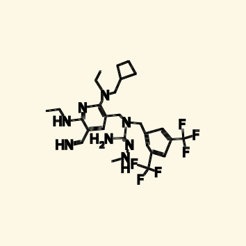 CCNc1nc(N(CC)CC2CCC2)c(CN(Cc2cc(C(F)(F)F)cc(C(F)(F)F)c2)/C(N)=N/NC)cc1C=N